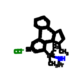 CC(C)[NH][Ti+2]([CH3])([CH3])[c]1cccc2c1c1c(c3ccccc32)C=CC1C.[Cl-].[Cl-].[SiH4]